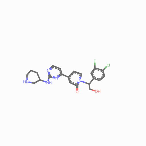 O=c1cc(-c2ccnc(NC3CCCNC3)n2)ccn1C(CO)c1ccc(Cl)c(F)c1